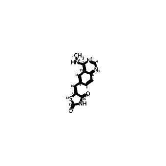 CNc1ncnc2ccc(/C=C3/SC(=O)NC3=O)cc12